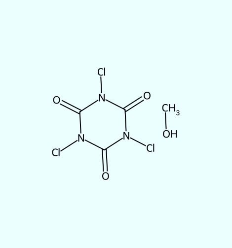 CO.O=c1n(Cl)c(=O)n(Cl)c(=O)n1Cl